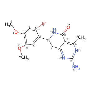 COc1cc(Br)c(C2Cc3nc(N)nc(C)c3C(=O)N2)cc1OC